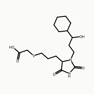 O=C(O)CSCCCC1C(=O)NC(=O)N1CCC(O)C1CCCCC1